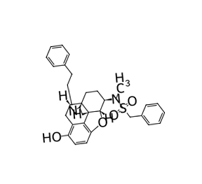 CN([C@@H]1CC[C@H]2[C@H]3Cc4c(O)ccc5c4[C@@]2(CCN3CCc2ccccc2)[C@H]1O5)S(=O)(=O)Cc1ccccc1